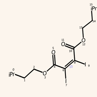 CC(C)CCOC(=O)/C(I)=C(/I)C(=O)OCCC(C)C